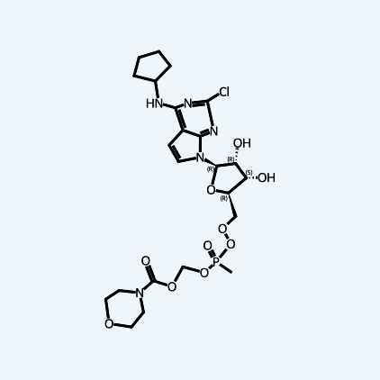 CP(=O)(OCOC(=O)N1CCOCC1)OOC[C@H]1O[C@@H](n2ccc3c(NC4CCCC4)nc(Cl)nc32)[C@H](O)[C@@H]1O